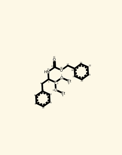 CCOP(OCC)C(Cc1ccccc1)NC(=O)OCc1ccccc1